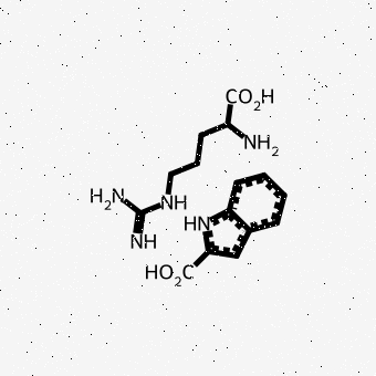 N=C(N)NCCCC(N)C(=O)O.O=C(O)c1cc2ccccc2[nH]1